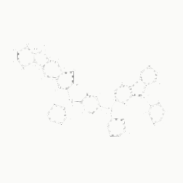 c1ccc(N(c2ccc(N(c3ccccc3)c3ccc4c5ccccc5n(-c5ccccc5)c4c3)cc2)c2ccc3cc4oc5ccccc5c4cc3c2)cc1